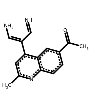 CC(=O)c1ccc2nc(C)cc(/C(C=N)=C/N)c2c1